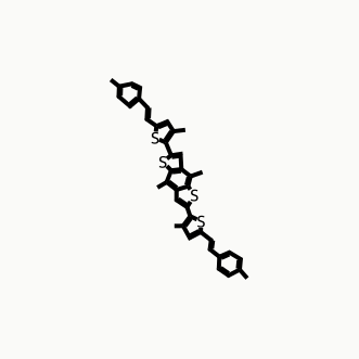 Cc1ccc(C=Cc2cc(C)c(-c3cc4c(C)c5sc(-c6sc(C=Cc7ccc(C)cc7)cc6C)cc5c(C)c4s3)s2)cc1